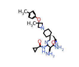 Cc1ccc(OC2(C)CN([C@H]3CC[C@](CC#N)(C/N=C(NC(=O)C4CC4)\C(=C/N)C(N)=O)CC3)C2)cc1